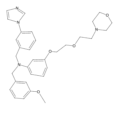 COc1cccc(CN(Cc2cccc(-n3ccnc3)c2)c2cccc(OCCOCCN3CCOCC3)c2)c1